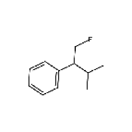 CC(C)C(CF)c1ccccc1